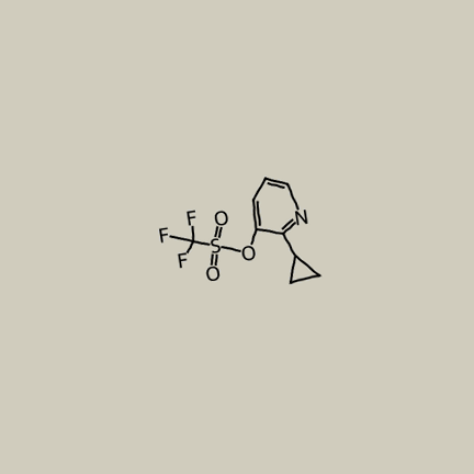 O=S(=O)(Oc1cccnc1C1CC1)C(F)(F)F